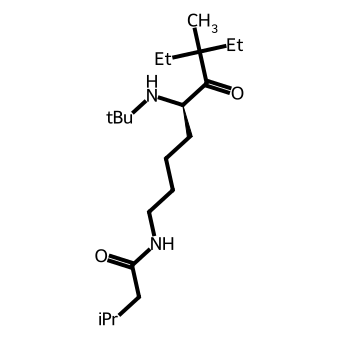 CCC(C)(CC)C(=O)[C@@H](CCCCNC(=O)CC(C)C)NC(C)(C)C